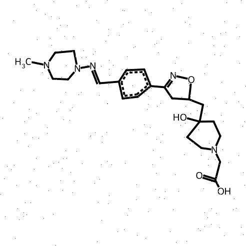 CN1CCN(/N=C/c2ccc(C3=NOC(CC4(O)CCN(CC(=O)O)CC4)C3)cc2)CC1